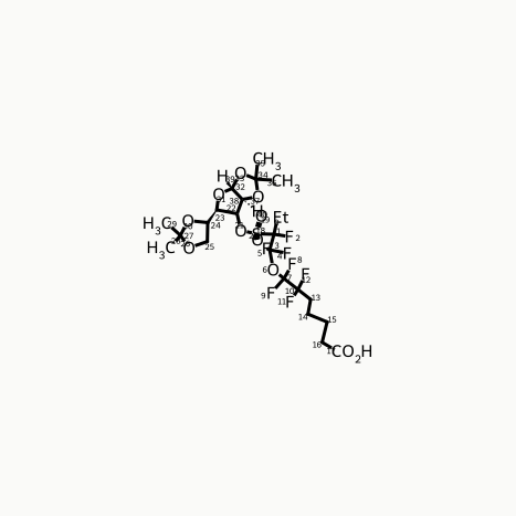 CCC(F)(C(F)(F)OC(F)(F)C(F)(F)CCCCC(=O)O)S(=O)(=O)OC1[C@@H](C2COC(C)(C)O2)O[C@@H]2OC(C)(C)O[C@@H]12